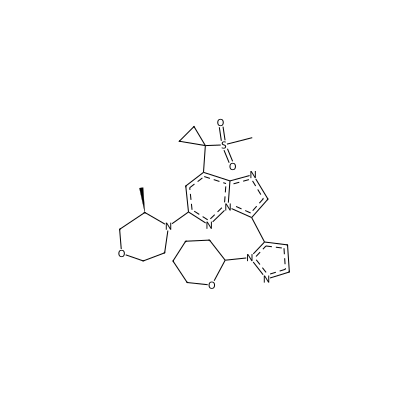 C[C@@H]1COCCN1c1cc(C2(S(C)(=O)=O)CC2)c2ncc(-c3ccnn3C3CCCCO3)n2n1